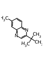 Cc1ccc2nc(C(C)(C)C)cnc2c1